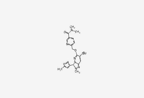 Cc1cc(C2N(C)N=C3C=C(C(C)(C)C)C(OCc4ccc(C(=O)N(C)C)cn4)=NN32)no1